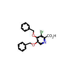 O=C(O)c1ncc(OCc2ccccc2)c(OCc2ccccc2)c1Br